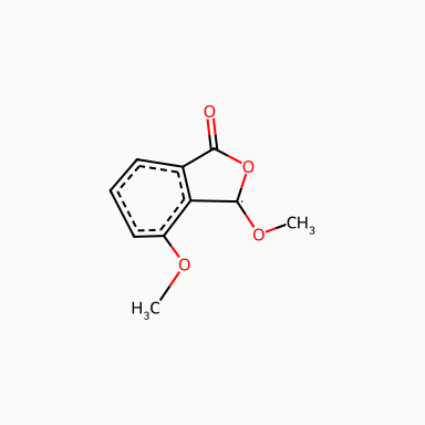 CO[C]1OC(=O)c2cccc(OC)c21